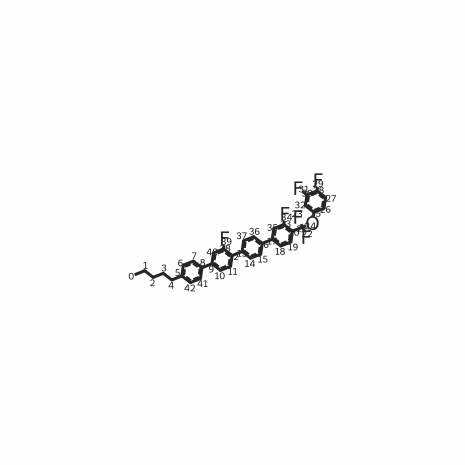 CCCCCc1ccc(-c2ccc(-c3ccc(-c4ccc(C(F)(F)Oc5ccc(F)c(F)c5)c(F)c4)cc3)c(F)c2)cc1